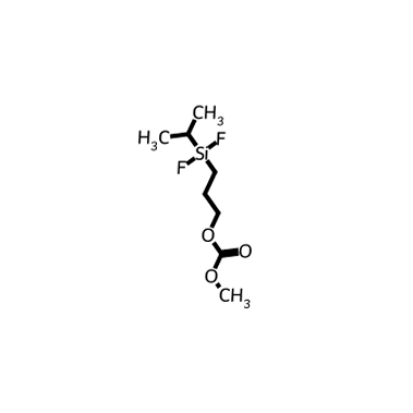 COC(=O)OCCC[Si](F)(F)C(C)C